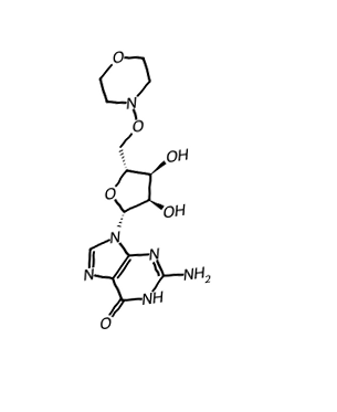 Nc1nc2c(ncn2[C@@H]2O[C@H](CON3CCOCC3)[C@@H](O)[C@H]2O)c(=O)[nH]1